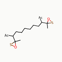 CC(=O)C(CCCCCCC(C(C)=O)C1(C)OS1)C1(C)OS1